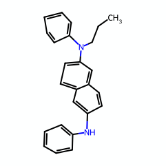 CCCN(c1ccccc1)c1ccc2cc(Nc3ccccc3)ccc2c1